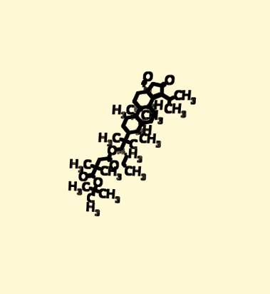 CCC[C@H](OC(=O)CC(C)(C)C(=O)OC(C)(C)C)C(C)(C)C1CC[C@]2(C)[C@H](CC[C@@H]3C4=C(C(C)C)C(=O)C[C@]4(C=O)CC[C@]32C)[C@@H]1C